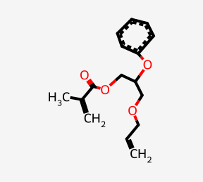 C=CCOCC(COC(=O)C(=C)C)Oc1ccccc1